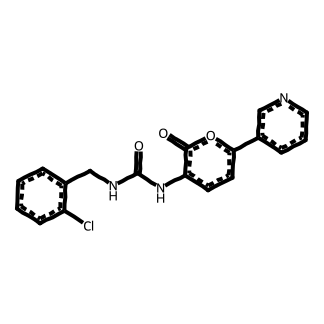 O=C(NCc1ccccc1Cl)Nc1ccc(-c2cccnc2)oc1=O